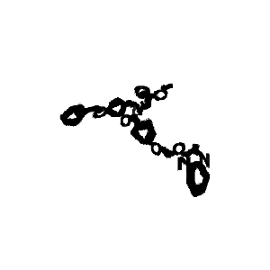 CCOC(=O)CN(Cc1ccc(OCc2ccccc2)cc1)C(=O)c1ccc(OCCOc2nc3ccccc3nc2C)cc1